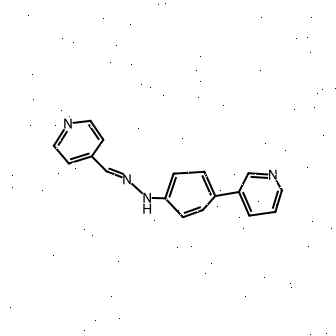 C(=NNc1ccc(-c2cccnc2)cc1)c1ccncc1